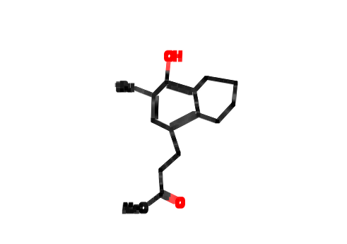 COC(=O)CCc1cc(C(C)(C)C)c(O)c2c1CCCC2